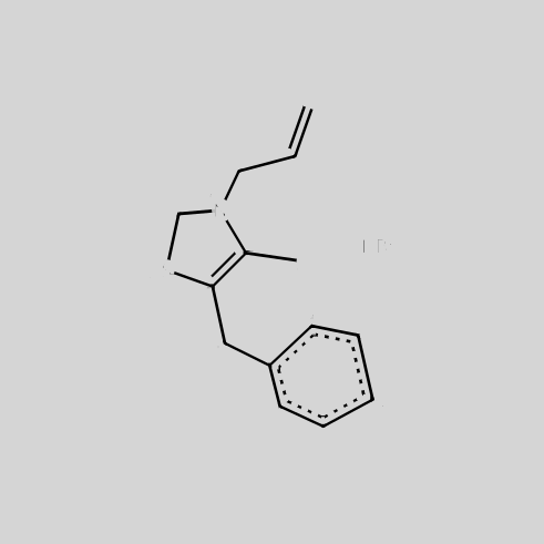 Br.C=CCN1CSC(Cc2ccccc2)=C1C